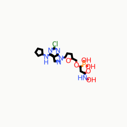 O=C(CC(OCC1CCC(n2ncc3c(NC4CCCC4)nc(Cl)nc32)O1)P(O)O)NO